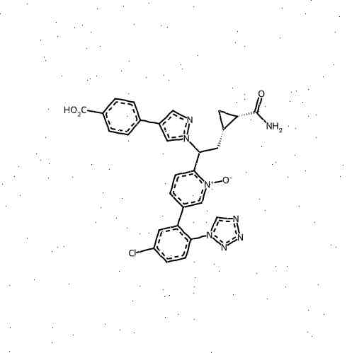 NC(=O)[C@H]1C[C@H]1CC(c1ccc(-c2cc(Cl)ccc2-n2cnnn2)c[n+]1[O-])n1cc(-c2ccc(C(=O)O)cc2)cn1